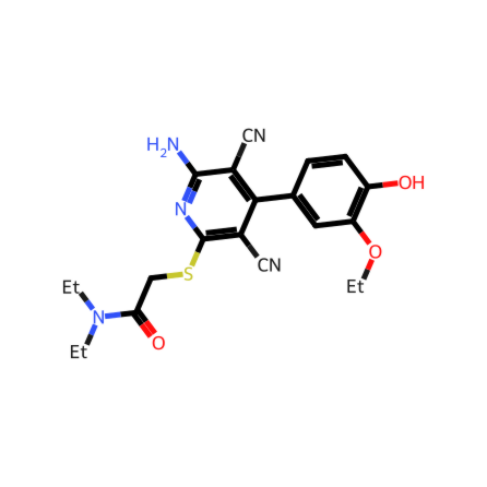 CCOc1cc(-c2c(C#N)c(N)nc(SCC(=O)N(CC)CC)c2C#N)ccc1O